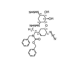 C[C@H]([C@@H]1CC[C@@H](N=[N+]=[N-])[C@@H](O[C@H]2[C@H](O)[C@@H](O)[C@H](N=[N+]=[N-])C[C@@H]2N=[N+]=[N-])C1)N(Cc1ccccc1)C(=O)OCc1ccccc1